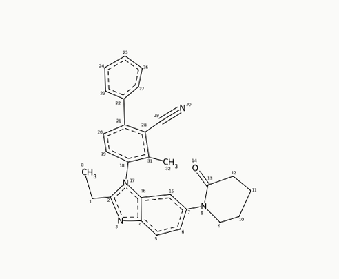 CCc1nc2ccc(N3CCCCC3=O)cc2n1-c1ccc(-c2ccccc2)c(C#N)c1C